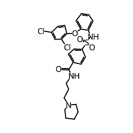 O=C(NCCCN1CCCCC1)c1ccc(S(=O)(=O)Nc2ccccc2Oc2ccc(Cl)cc2Cl)cc1